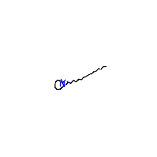 CCCCCCCCCCCCCCCCC[N+]1(C)CCCCCCC1